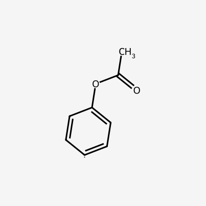 CC(=O)Oc1cc[c]cc1